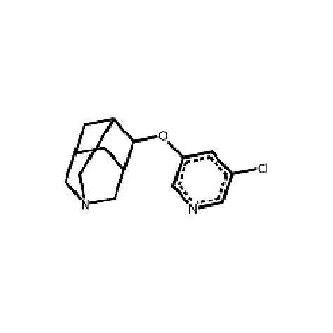 Clc1cncc(OC2C3CC4CC2CN(C4)C3)c1